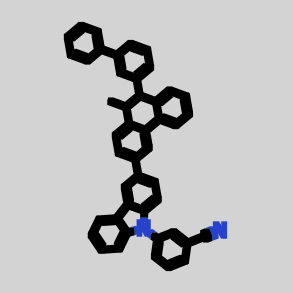 CC1c2ccc(-c3ccc4c(c3)c3ccccc3n4-c3cccc(C#N)c3)cc2-c2ccccc2C1c1cccc(-c2ccccc2)c1